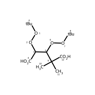 CC(C)(C)OOC(C(=O)O)C(OOC(C)(C)C)C(C)(C)C(=O)O